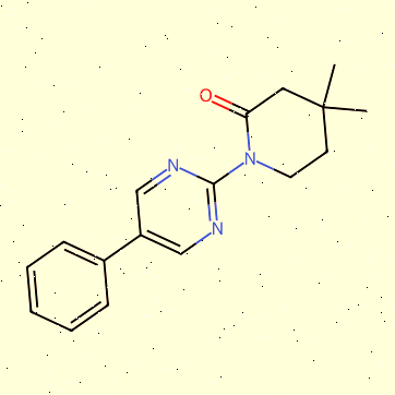 CC1(C)CCN(c2ncc(-c3ccccc3)cn2)C(=O)C1